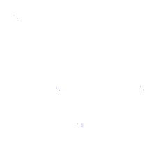 CC(N)CN(c1ccc([N+](=O)[O-])cc1)c1ccc([N+](=O)[O-])cc1